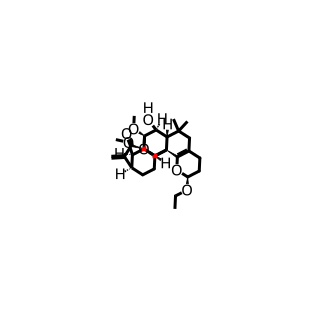 C=C1C(=O)[C@]23[C@H](OC)[C@H]1CC[C@H]2[C@@]12CO[C@@]3(OC)[C@@H](O)[C@@H]1C(C)(C)CC1=C2O[C@H](OCC)CC1